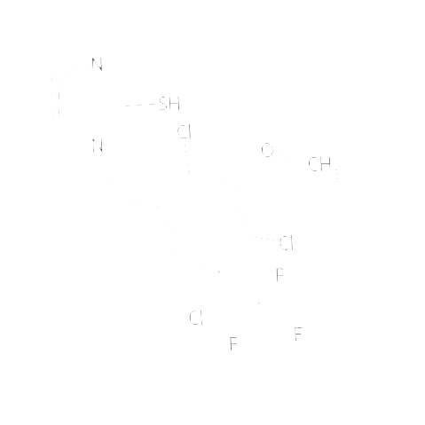 COC1=C(Cl)C(Cl)(C(F)(F)F)C=C(Cn2ccnc2S)C1Cl